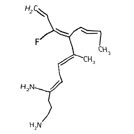 C=C/C(F)=C(\C=C/C)C(/C)=C/C=C(\N)CN